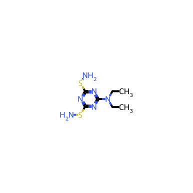 CCN(CC)c1nc(SN)nc(SN)n1